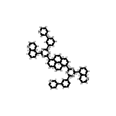 c1cncc(-c2cccc(-c3nc(-c4cccc5ncccc45)nc(-c4ccc5ccc6c(-c7nc(-c8cccc(-c9cccnc9)c8)nc(-c8cccc9ncccc89)n7)ccc7ccc4c5c76)n3)c2)c1